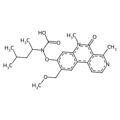 COCc1cc2c3ccnc(C)c3c(=O)n(C)c2cc1ON(C(=O)O)C(C)CC(C)C